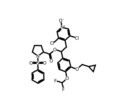 O=C(OC(Cc1c(Cl)c[n+]([O-])cc1Cl)c1ccc(OC(F)F)c(OCC2CC2)c1)C1CCCN1S(=O)(=O)c1ccccc1